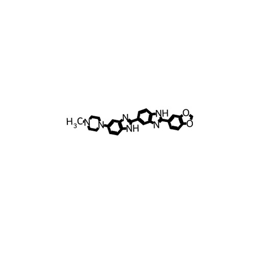 CN1CCN(c2ccc3[nH]c(-c4ccc5[nH]c(-c6ccc7c(c6)OCO7)nc5c4)nc3c2)CC1